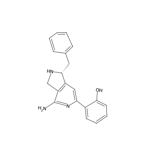 Nc1nc(-c2ccccc2O)cc2c1CN[C@@H]2Cc1ccccc1